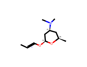 C/C=C/O[C@H]1C[C@@H](N(C)C)C[C@@H](C)O1